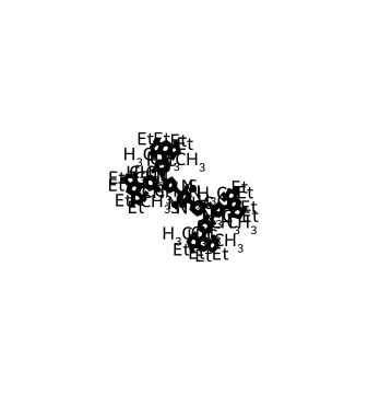 CCC1(CC)CC(C)(C)c2c1cc1c(c2-c2ccc(N(c3ccc(-c4c5c(c(-c6ccc(N(c7ccc(-c8c9c(cc%10c8C(C)(C)CC%10(CC)CC)C(CC)(CC)CC9(C)C)cc7C)c7ccc(-c8c9c(cc%10c8C(C)(C)CC%10(CC)CC)C(CC)(CC)CC9(C)C)cc7C)cc6)c6nsnc46)N=S=N5)cc3)c3ccc(-c4c5c(cc6c4C(C)(C)CC6(CC)CC)C(CC)(CC)CC5(C)C)cc3C)c(C)c2)C(C)(C)CC1(CC)CC